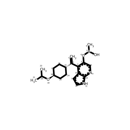 C=C(c1c(OB(C)O)cnc2[nH]ccc12)[C@H]1CC[C@H](OC(C)C)CC1